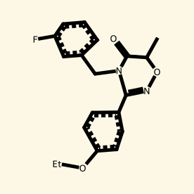 CCOc1ccc(C2=NOC(C)C(=O)N2Cc2cccc(F)c2)cc1